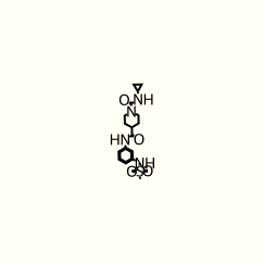 CS(=O)(=O)Nc1cccc(NC(=O)C2CCN(C(=O)NC3CC3)CC2)c1